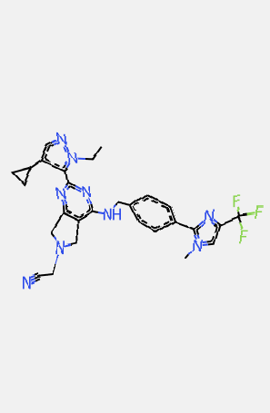 CCn1ncc(C2CC2)c1-c1nc2c(c(NCc3ccc(-c4nc(C(F)(F)F)cn4C)cc3)n1)CN(CC#N)C2